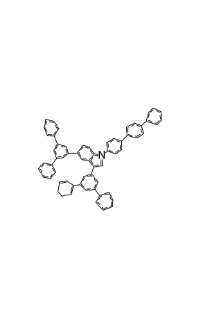 C1=CC(c2cc(-c3ccccc3)cc(-c3cn(-c4ccc(-c5ccc(-c6ccccc6)cc5)cc4)c4ccc(-c5cc(-c6ccccc6)cc(-c6ccccc6)c5)cc34)c2)=CCC1